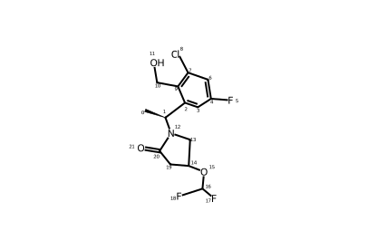 C[C@@H](c1cc(F)cc(Cl)c1CO)N1CC(OC(F)F)CC1=O